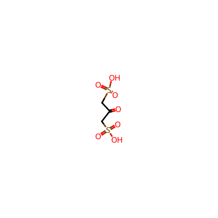 O=C(CS(=O)(=O)O)CS(=O)(=O)O